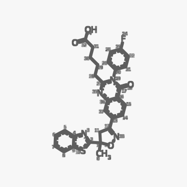 CC1(c2nc3ccccc3s2)CC(c2ccc3c(=O)n(-c4ccc(F)cc4)c(CCCCC(=O)O)nc3c2)=NO1